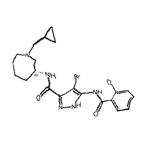 O=C(Nc1[nH]nc(C(=O)N[C@@H]2CCCCN(CC3CC3)C2)c1Br)c1ccccc1Cl